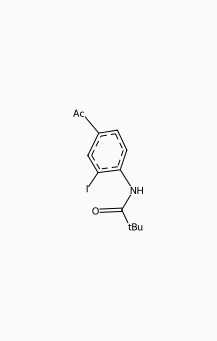 CC(=O)c1ccc(NC(=O)C(C)(C)C)c(I)c1